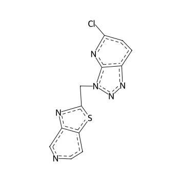 Clc1ccc2nnn(Cc3nc4cnccc4s3)c2n1